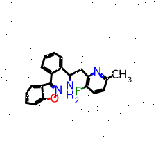 Cc1ccc(F)c(CC(N)c2ccccc2-c2noc3ccccc23)n1